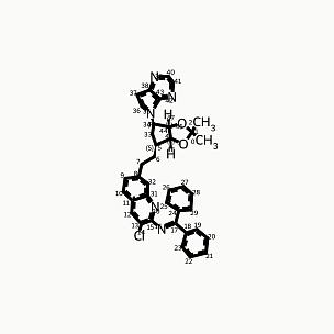 CC1(C)O[C@@H]2[C@@H](CCc3ccc4cc(Cl)c(N=C(c5ccccc5)c5ccccc5)nc4c3)C[C@@H](n3ccc4nccnc43)[C@@H]2O1